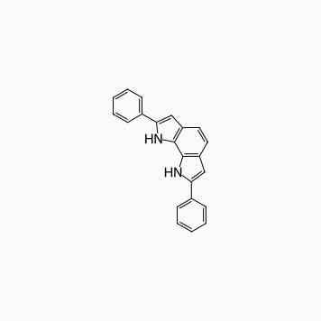 c1ccc(-c2cc3ccc4cc(-c5ccccc5)[nH]c4c3[nH]2)cc1